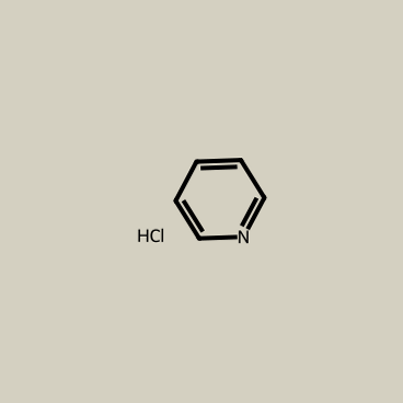 Cl.c1ccncc1